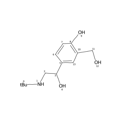 [CH2]C(C)(C)NCC(O)c1ccc(O)c(CO)c1